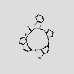 CN1Cc2cncn2Cc2ccc(C#N)c(c2)Oc2ccc3cccc(c3c2)NC(=O)[C@@H]1Cc1ccccc1